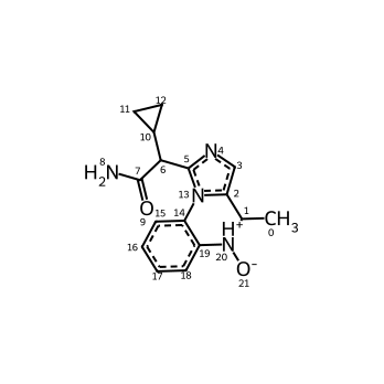 CC1c2cnc(C(C(N)=O)C3CC3)n2-c2ccccc2[NH+]1[O-]